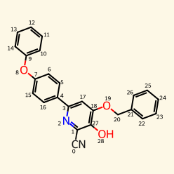 N#Cc1nc(-c2ccc(Oc3ccccc3)cc2)cc(OCc2ccccc2)c1O